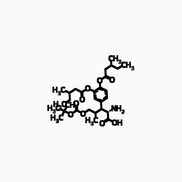 CCC(C)CC(=O)Oc1ccc(C(C(C)COC(=O)OC(C)(C)C)[C@H](N)C(=O)O)cc1OC(=O)CC(C)CC